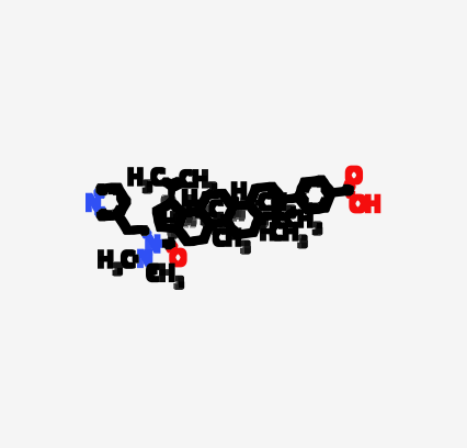 C=C(C)[C@@H]1CC[C@]2(C(=O)N(CCc3cccnc3)N(C)C)CC[C@]3(C)[C@H](CC[C@@H]4[C@@]5(C)CC=C(c6ccc(C(=O)O)cc6)C(C)(C)[C@@H]5CC[C@]43C)[C@@H]12